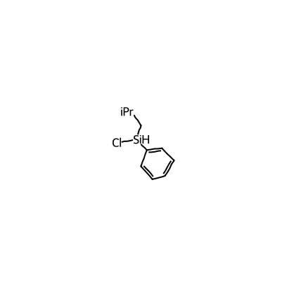 CC(C)C[SiH](Cl)c1ccccc1